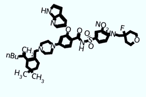 C=C(CCCC)C1=C(CN2CCN(c3ccc(C(=O)NS(=O)(=O)c4ccc(NCC5(F)CCOCC5)c([N+](=O)[O-])c4)c(Oc4cnc5[nH]ccc5c4)c3)CC2)CCC(C)(C)C1